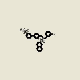 CS(=O)(=O)c1cccc(-c2ccc(CN(Cc3cccc(Br)c3)S(=O)(=O)c3ccc4ccccc4c3)cc2)c1